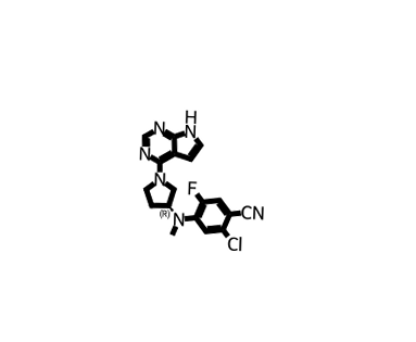 CN(c1cc(Cl)c(C#N)cc1F)[C@@H]1CCN(c2ncnc3[nH]ccc23)C1